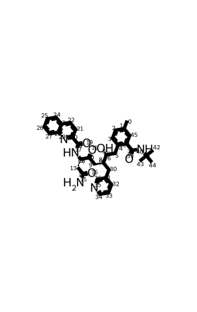 Cc1ccc(C[C@@H](O)[C@H](CC(=O)[C@H](CC(N)=O)NC(=O)c2ccc3ccccc3n2)Cc2cccnc2)c(C(=O)NC(C)(C)C)c1